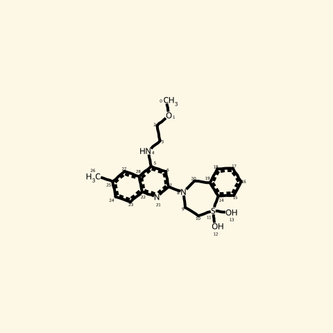 COCCNc1cc(N2CCS(O)(O)c3ccccc3C2)nc2ccc(C)cc12